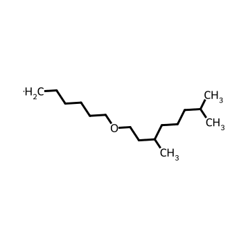 [CH2]CCCCCOCCC(C)CCCC(C)C